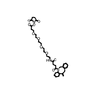 C=C1Cc2ccccc2CN(C(=O)CCC(=O)NCCOCCOCCOCCOCCC(=O)ON2C(=O)CCC2=O)c2ccccc21